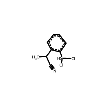 CC(C#N)c1ccccc1[SiH](Cl)Cl